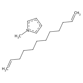 C=CCCCCCCCCC=C.Cn1cccc1